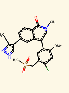 COc1cc(F)c(CS(C)(=O)=O)cc1-c1cn(C)c(=O)c2ccc(-c3c[nH]nc3C)cc12